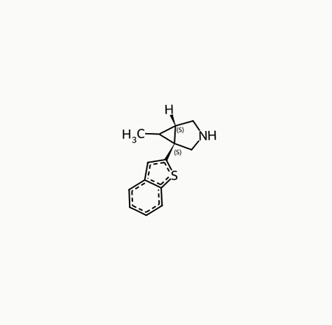 CC1[C@@H]2CNC[C@]12c1cc2ccccc2s1